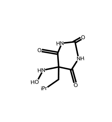 CC(C)CC1(NO)C(=O)NC(=O)NC1=O